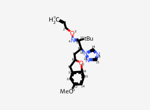 C=CCON=C(C(CC1Cc2cc(OC)ccc2O1)n1cncn1)C(C)(C)C